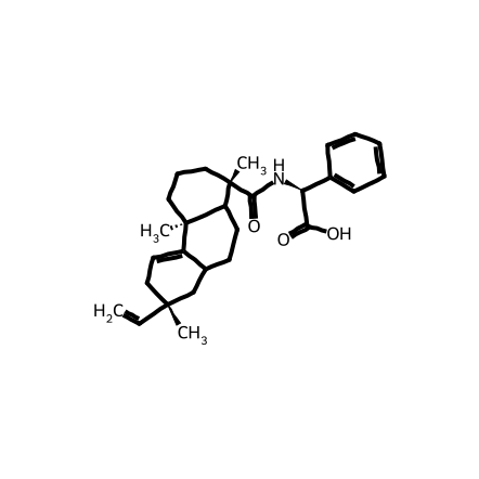 C=C[C@]1(C)CC=C2C(CCC3[C@@](C)(C(=O)N[C@H](C(=O)O)c4ccccc4)CCC[C@]23C)C1